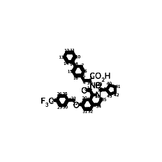 O=C(N[C@@H](Cc1ccc(-c2ccccc2)cc1)C(=O)O)C1c2cc(OCc3ccc(C(F)(F)F)cc3)ccc2CCN1C(=O)C1CCCC1